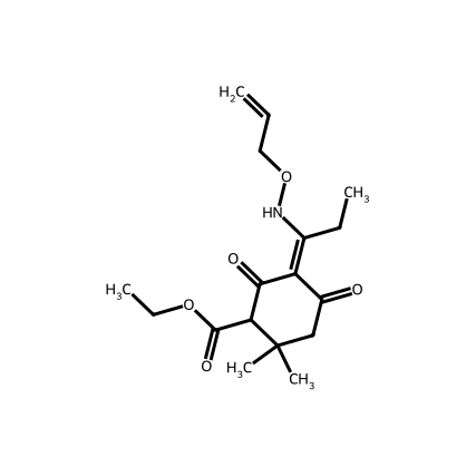 C=CCON/C(CC)=C1/C(=O)CC(C)(C)C(C(=O)OCC)C1=O